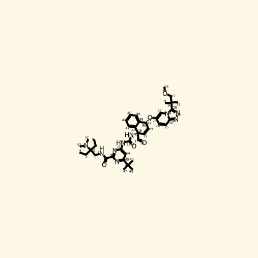 CCC(CC)(CNC(=O)c1nc(NC(=O)N[C@@]2(C=O)C=C[C@@H](Oc3ccc4nnc(C(C)(C)COC)n4c3)c3ccccc32)cc(C(C)(C)C)n1)N(C)C